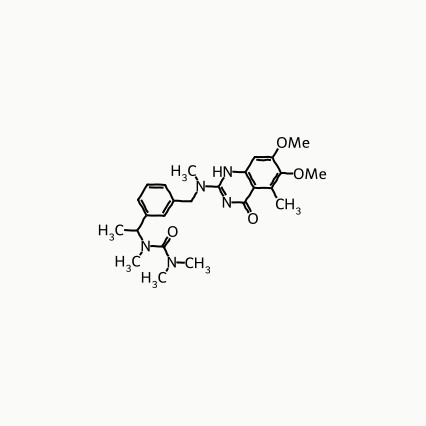 COc1cc2[nH]c(N(C)Cc3cccc(C(C)N(C)C(=O)N(C)C)c3)nc(=O)c2c(C)c1OC